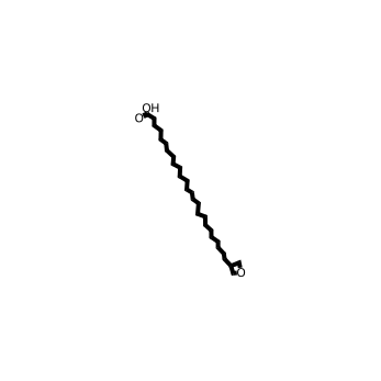 O=C(O)CCCCCCCCCCCCCCCCCCCCCCCCC1COC1